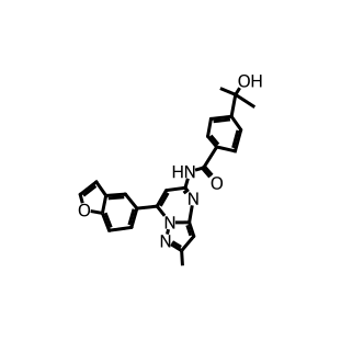 Cc1cc2nc(NC(=O)c3ccc(C(C)(C)O)cc3)cc(-c3ccc4occc4c3)n2n1